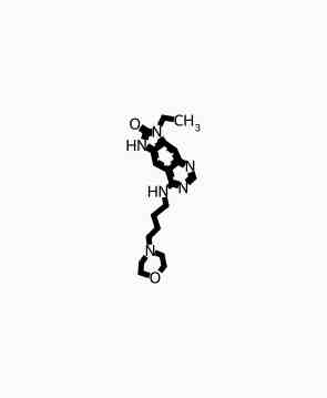 CCn1c(=O)[nH]c2cc3c(NCCCCN4CCOCC4)ncnc3cc21